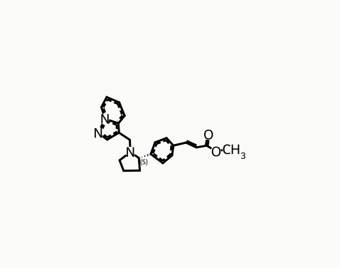 COC(=O)C=Cc1ccc([C@@H]2CCCN2Cc2cnn3ccccc23)cc1